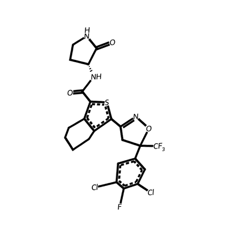 O=C(N[C@@H]1CCNC1=O)c1sc(C2=NOC(c3cc(Cl)c(F)c(Cl)c3)(C(F)(F)F)C2)c2c1CCCC2